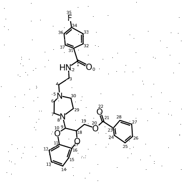 O=C(NCCN1CCN(C2Oc3ccccc3OC2COC(=O)c2ccccc2)CC1)c1ccc(F)cc1